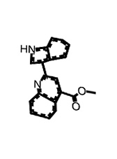 COC(=O)c1cc(-c2c[nH]c3ccccc23)nc2ccccc12